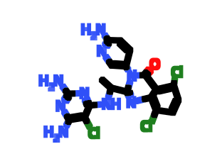 CC(Nc1nc(N)nc(N)c1Cl)c1nc2c(Cl)ccc(Cl)c2c(=O)n1-c1ccc(N)nc1